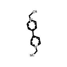 N#CC[n+]1ccc(-c2cc[n+](CC#N)cc2)cc1